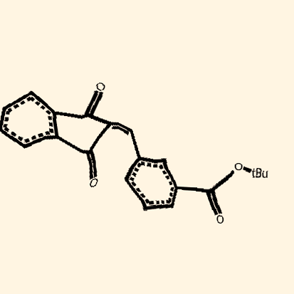 CC(C)(C)OC(=O)c1cccc(C=C2C(=O)c3ccccc3C2=O)c1